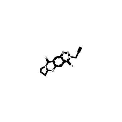 C#CCn1nnc2cc3c(cc2c1=O)OC1CCCN1C3=O